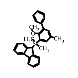 COc1c(-c2ccccc2)cc(C)cc1[Si](C)(C)C1c2ccccc2-c2ccccc21